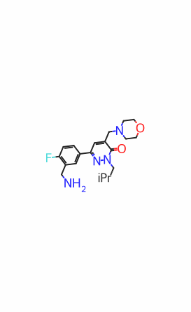 CC(C)Cn1nc(-c2ccc(F)c(CN)c2)cc(CN2CCOCC2)c1=O